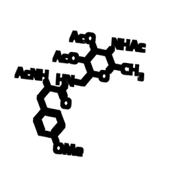 COc1ccc(CC(NC(C)=O)C(=O)NCC2OC(C)C(NC(C)=O)C(OC(C)=O)C2OC(C)=O)cc1